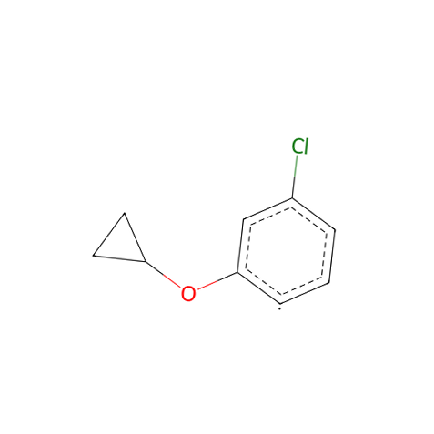 Clc1cc[c]c(OC2CC2)c1